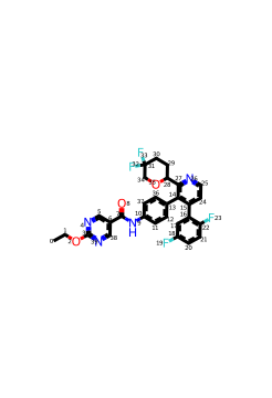 CCOc1ncc(C(=O)Nc2ccc(-c3c(-c4cc(F)ccc4F)ccnc3C3CCC(F)(F)CO3)cc2)cn1